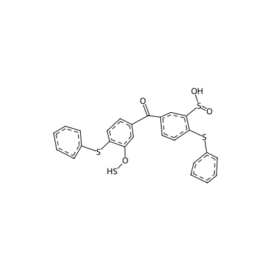 O=C(c1ccc(Sc2ccccc2)c(OS)c1)c1ccc(Sc2ccccc2)c(S(=O)O)c1